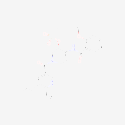 COc1cc(C(=O)N2CCC(NC(=O)c3ccccc3OC(F)(F)F)C(OS(C)(=O)=O)C2)cnc1OC